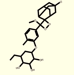 CCC1CC(Oc2cc(C3(OC)OOC34C3CC5CC4CC(Cl)(C5)C3)ccc2C)C(O)C(O)C1O